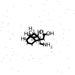 C[C@H]1[C@@H]2CCC3[C@@](CN)(CC(=O)O)[C@@H](C2)[C@]31C